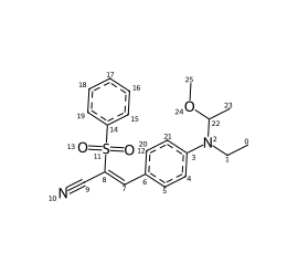 CCN(c1ccc(C=C(C#N)S(=O)(=O)c2ccccc2)cc1)C(C)OC